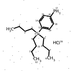 CCCC[Si](CCCC)(CCCC)c1ccc(P)cc1.Cl